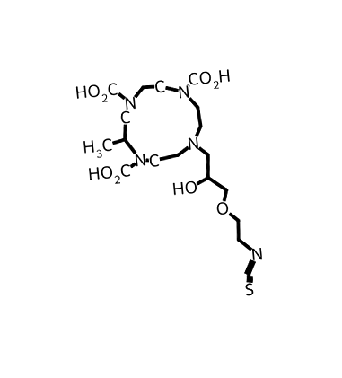 CC1CN(C(=O)O)CCN(C(=O)O)CCN(CC(O)COCCN=C=S)CCN1C(=O)O